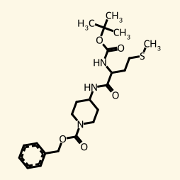 CSCCC(NC(=O)OC(C)(C)C)C(=O)NC1CCN(C(=O)OCc2ccccc2)CC1